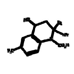 CCCC1(CC)CC(O)c2cc(C(F)(F)F)ccc2N1C(=O)O